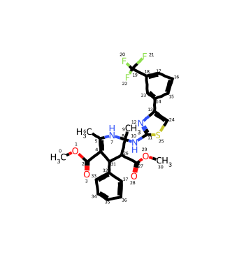 COC(=O)C1=C(C)NC(C)(Nc2nc(-c3cccc(C(F)(F)F)c3)cs2)C(C(=O)OC)C1c1ccccc1